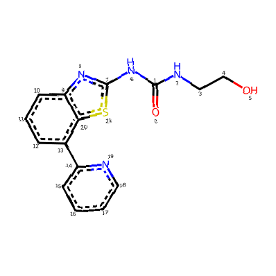 O=C(NCCO)Nc1nc2c[c]cc(-c3ccccn3)c2s1